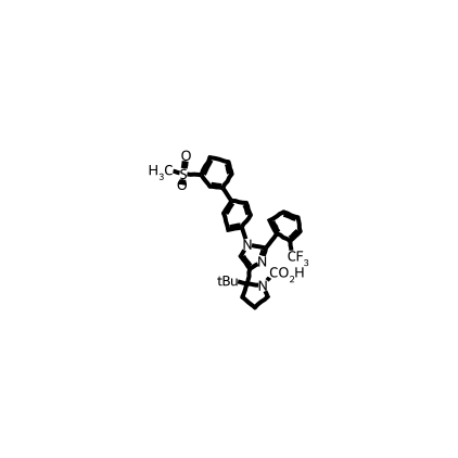 CC(C)(C)C1(c2cn(-c3ccc(-c4cccc(S(C)(=O)=O)c4)cc3)c(-c3ccccc3C(F)(F)F)n2)CCCN1C(=O)O